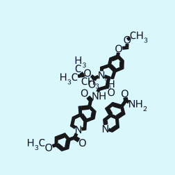 COCOc1ccc2c(c1)CN(C(=O)OC(C)(C)C)[C@H]([C@H](O)CNC(=O)c1ccc3c(c1)CCN(C(=O)c1ccc(OC)cc1)C3)C2.NC(=O)c1ccc2cnccc2c1